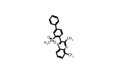 Cc1nc2c(C(F)(F)F)cccc2nc1-c1ccc(-c2ccccc2)cc1S(C)(=O)=O